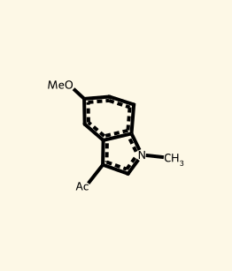 COc1ccc2c(c1)c(C(C)=O)cn2C